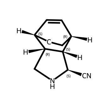 N#C[C@H]1NC[C@H]2[C@@H]1[C@H]1C=C[C@@H]2CC1